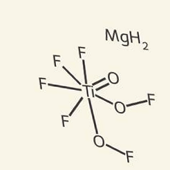 [MgH2].[O]=[Ti]([F])([F])([F])([F])([O]F)[O]F